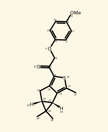 COc1ccc(OCC(=O)c2sc(C)c3c2C[C@@H]2[C@H]3C2(C)C)cc1